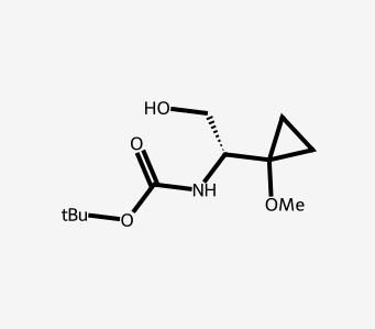 COC1([C@@H](CO)NC(=O)OC(C)(C)C)CC1